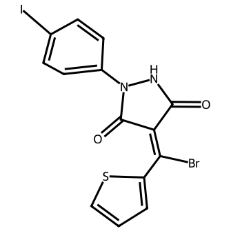 O=C1NN(c2ccc(I)cc2)C(=O)/C1=C(/Br)c1cccs1